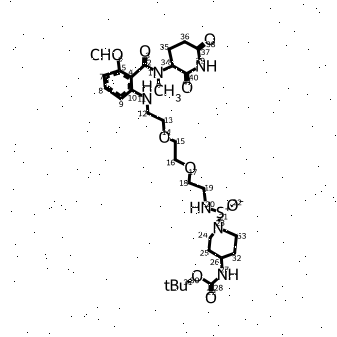 CN(C(=O)c1c(C=O)cccc1NCCOCCOCCN[S+]([O-])N1CCC(NC(=O)OC(C)(C)C)CC1)C1CCC(=O)NC1=O